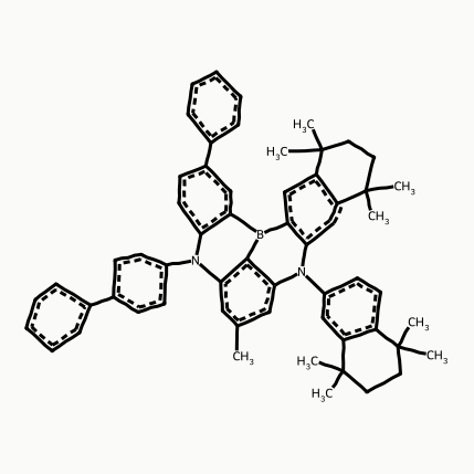 Cc1cc2c3c(c1)N(c1ccc4c(c1)C(C)(C)CCC4(C)C)c1cc4c(cc1B3c1cc(-c3ccccc3)ccc1N2c1ccc(-c2ccccc2)cc1)C(C)(C)CCC4(C)C